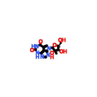 CC1(O)[C@H](O)[C@@H](CO)O[C@H]1n1cc2c3c(ncnc31)NC(=O)NC2=O